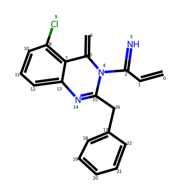 C=CC(=N)N1C(=C)c2c(Cl)cccc2N=C1Cc1ccccc1